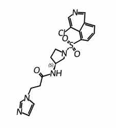 O=C(CCn1ccnc1)N[C@H]1CCN(S(=O)(=O)c2cccc3cncc(Cl)c23)C1